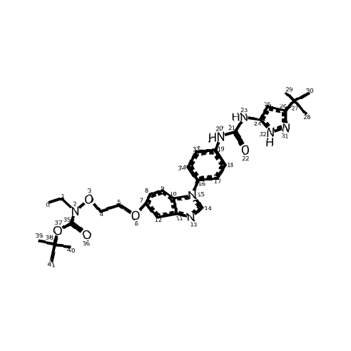 CCN(OCCOc1ccc2c(c1)ncn2-c1ccc(NC(=O)Nc2cc(C(C)(C)C)n[nH]2)cc1)C(=O)OC(C)(C)C